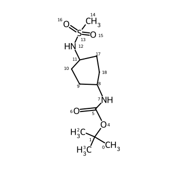 CC(C)(C)OC(=O)NC1CCC(NS(C)(=O)=O)CC1